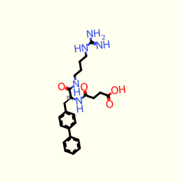 N=C(N)NCCCCNC(=O)[C@H](Cc1ccc(-c2ccccc2)cc1)NC(=O)CCC(=O)O